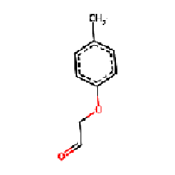 [CH2]c1ccc(OCC=O)cc1